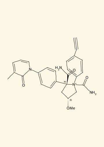 C#Cc1ccc([N+]2(C(N)=O)C[C@H](OC)C[C@]2(C(N)=O)c2ccc(-n3cccc(C)c3=O)cc2)cc1